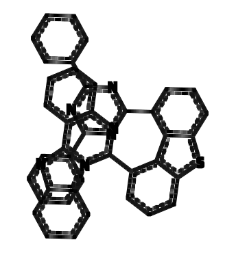 c1ccc(-c2nc(-c3ccccc3)nc(-c3cccc4sc5cccc(-c6nc7ccccc7c7nc8ccccc8n67)c5c34)n2)cc1